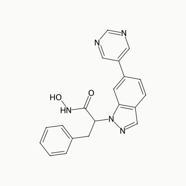 O=C(NO)C(Cc1ccccc1)n1ncc2ccc(-c3cncnc3)cc21